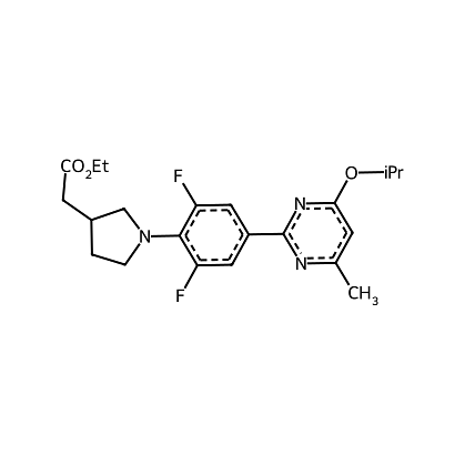 CCOC(=O)CC1CCN(c2c(F)cc(-c3nc(C)cc(OC(C)C)n3)cc2F)C1